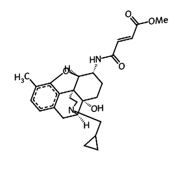 COC(=O)/C=C/C(=O)N[C@@H]1CC[C@@]2(O)[C@H]3Cc4ccc(C)c5c4[C@@]2(CCN3CC2CC2)[C@H]1O5